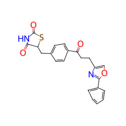 O=C1NC(=O)C(Cc2ccc(C(=O)CCc3coc(-c4ccccc4)n3)cc2)S1